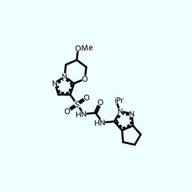 COC1COc2c(S(=O)(=O)NC(=O)Nc3c4c(nn3C(C)C)CCC4)cnn2C1